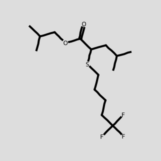 CC(C)COC(=O)C(CC(C)C)SCCCCC(F)(F)F